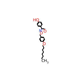 CCCCCCCCOc1ccc(CO/N=C(\[C]=O)c2ccc(O)cc2)cc1